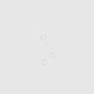 CC(=O)c1ccc(CN2CCCN(Cc3ccc(Oc4ccccc4)cc3)CC2)cc1